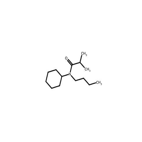 CCCCN(C(=O)C(C)C)C1CCCCC1